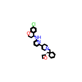 Clc1ccc2c(c1)OCCC2Nc1cccc(C2=CCN(CC3(C[C@H]4CCO4)C=CC=CC3)CC2)n1